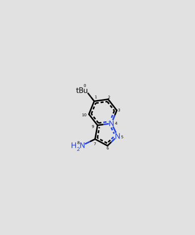 CC(C)(C)c1ccn2ncc(N)c2c1